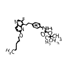 CCCCCOc1ccc2ncc(F)c(CCC34CCC(NC(=O)OC(C)(C)C)(CC3)CO4)c2n1